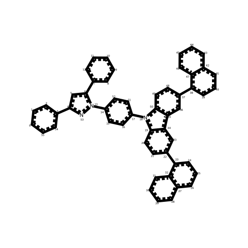 c1ccc(-c2cc(-c3ccccc3)n(-c3ccc(-n4c5ccc(-c6cccc7ccccc67)cc5c5cc(-c6cccc7ccccc67)ccc54)cc3)n2)cc1